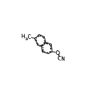 Cc1ccc2cc(OC#N)ccc2c1